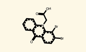 O=C(O)Cn1c2ccccc2c(=O)c2ccc(Br)c(Br)c21